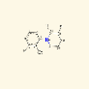 CCc1c(C)cccc1N1C=CCC(C)C1C